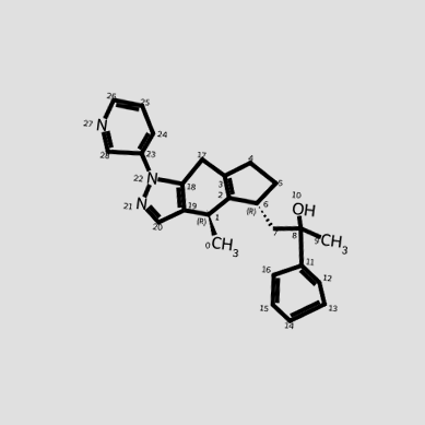 C[C@@H]1C2=C(CC[C@@H]2CC(C)(O)c2ccccc2)Cc2c1cnn2-c1cccnc1